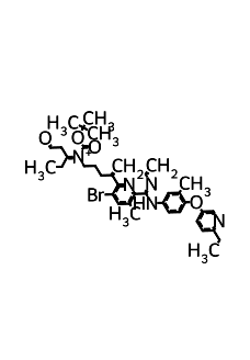 C=C/N=C(/Nc1ccc(Oc2ccc(CC)nc2)c(C)c1)c1nc(C(=C)CCC/[N+](C(=O)OC(C)(C)C)=C(\CC)CC=O)c(Br)cc1C